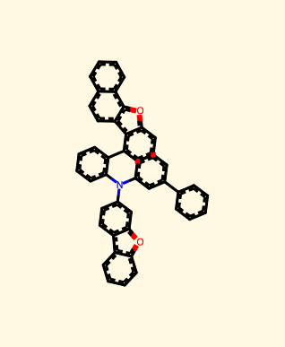 c1ccc(-c2cccc(N(c3ccc4c(c3)oc3ccccc34)c3ccccc3-c3cccc4oc5c6ccccc6ccc5c34)c2)cc1